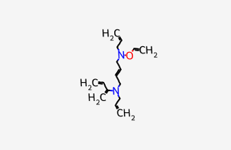 C=CCN(C/C=C/CN(CC=C)C(=C)C=C)OC=C